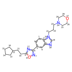 c1cc2c(cc1-c1noc(CCC3CCCC3)n1)ncn2CCCN1CCOCC1